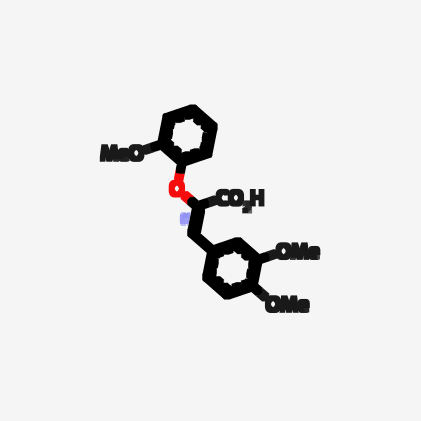 COc1ccc(/C=C(/Oc2ccccc2OC)C(=O)O)cc1OC